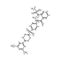 Cc1cc(C)nc(N2CCN(S(=O)(=O)c3ccc(NC(=O)c4ccccc4N(C)S(C)(=O)=O)cc3)CC2)c1